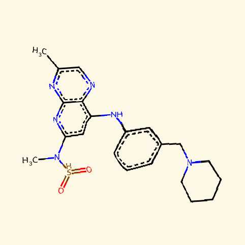 Cc1cnc2c(Nc3cccc(CN4CCCCC4)c3)cc(N(C)[SH](=O)=O)nc2n1